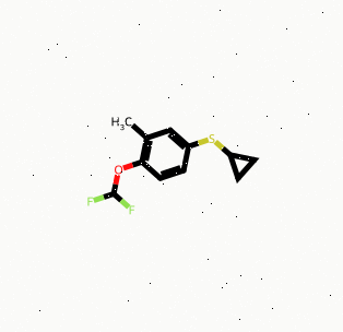 Cc1cc(SC2CC2)ccc1OC(F)F